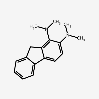 CN(C)c1ccc2c(c1N(C)C)[CH]c1ccccc1-2